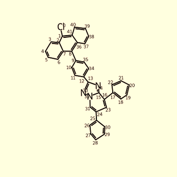 Clc1c2ccccc2c(-c2ccc(-c3nc4c(-c5ccccc5)cc(-c5ccccc5)cn4n3)cc2)c2ccccc12